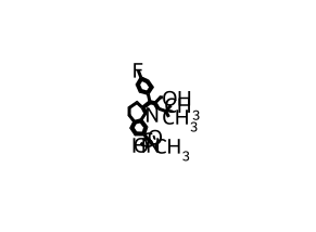 CNS(=O)(=O)c1ccc2c(c1)-c1nc(C(C)C)c(CO)c(-c3ccc(F)cc3)c1CCC2